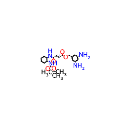 CC(C)(C)OC(=O)Nc1ccccc1NC(=O)/C=C/C(=O)OCc1cc(N)cc(N)c1